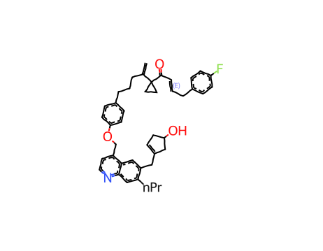 C=C(CCCc1ccc(OCc2ccnc3cc(CCC)c(CC4=CCC(O)C4)cc23)cc1)C1(C(=O)/C=C/Cc2ccc(F)cc2)CC1